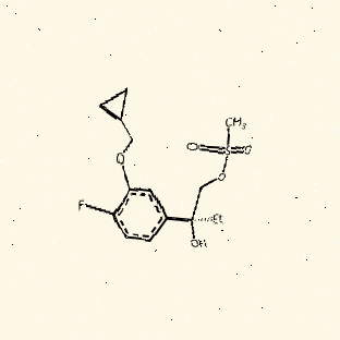 CC[C@@](O)(COS(C)(=O)=O)c1ccc(F)c(OCC2CC2)c1